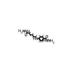 NNC(=O)CCCCCNc1ccc(C(=O)NN)cc1